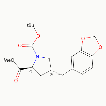 COC(=O)[C@@H]1C[C@@H](Cc2ccc3c(c2)OCO3)CN1C(=O)OC(C)(C)C